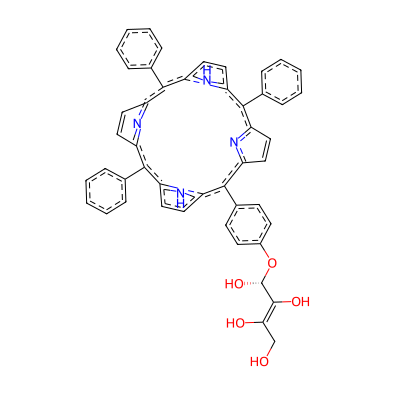 OC/C(O)=C(\O)[C@H](O)Oc1ccc(-c2c3nc(c(-c4ccccc4)c4ccc([nH]4)c(-c4ccccc4)c4nc(c(-c5ccccc5)c5ccc2[nH]5)C=C4)C=C3)cc1